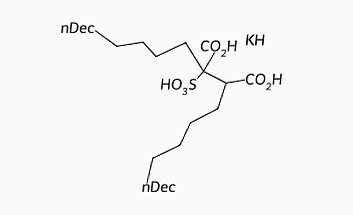 CCCCCCCCCCCCCCC(C(=O)O)C(CCCCCCCCCCCCCC)(C(=O)O)S(=O)(=O)O.[KH]